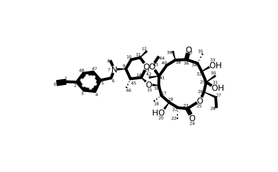 C#Cc1ccc(CN(C)[C@H]2C[C@@H](C)O[C@@H](O[C@@H]3[C@@H](C)[C@H](O)[C@@H](C)C(=O)O[C@H](CC)[C@@](C)(O)[C@H](O)[C@@H](C)C(=O)[C@H](C)C[C@@]3(C)OC)[C@@H]2C)cc1